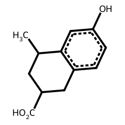 CC1CC(C(=O)O)Cc2ccc(O)cc21